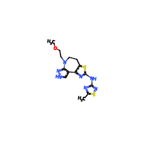 COCCN1CCc2sc(Nc3nsc(C)n3)nc2-c2c[nH]nc21